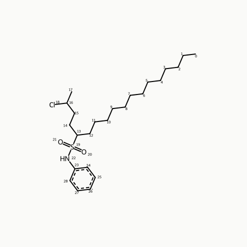 CCCCCCCCCCCCCC(CCC(C)Cl)S(=O)(=O)Nc1cc[c]cc1